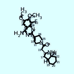 COc1cc2c(N)nc(C3=CCN(C(=O)C[C@@H]4C[C@@H]5CCCC[C@@H]5N4)CC3)nc2c(F)c1OC